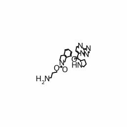 NCCCOC(=O)N1CCc2cccc(O[C@@H](c3ccnc4ncnn34)C3CCCN3)c2C1